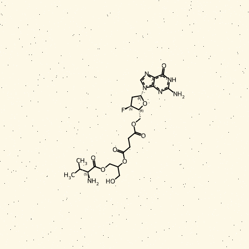 CC(C)[C@H](N)C(=O)OCC(CO)OC(=O)CCC(=O)OC[C@H]1O[C@@H](n2cnc3c(=O)[nH]c(N)nc32)C[C@@H]1F